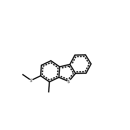 CSc1ccc2c(sc3ccccc32)c1C